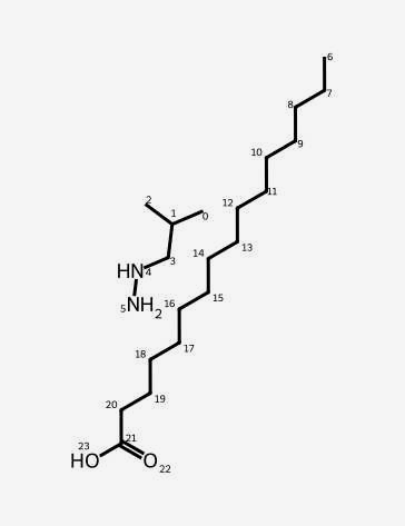 CC(C)CNN.CCCCCCCCCCCCCCCC(=O)O